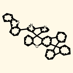 c1ccc2c(c1)Oc1cc3c(cc1C21c2cccnc2-c2ncc(-c4cccc5c4sc4ccccc45)cc21)-c1ccccc1C31c2ccccc2-c2ccccc21